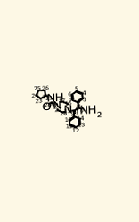 N[C@@H](c1ccccc1)[C@@H](c1ccccc1)N1CCN(C(=O)NC2CCCC2)CC1